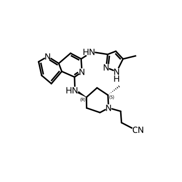 Cc1cc(Nc2cc3ncccc3c(N[C@@H]3CCN(CCC#N)[C@@H](C)C3)n2)n[nH]1